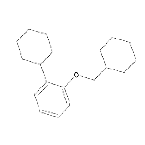 c1ccc(C2CCCCC2)c(OCC2CCCCC2)c1